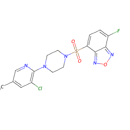 O=S(=O)(c1ccc(F)c2nonc12)N1CCN(c2ncc(C(F)(F)F)cc2Cl)CC1